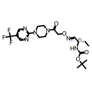 CC[C@@H](/C=N/OCC(=O)N1CCN(c2ncc(C(F)(F)F)cn2)CC1)NC(=O)OC(C)(C)C